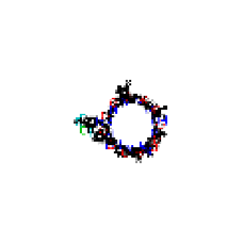 CC[C@H](C)[C@@H]1NC(=O)[C@H](CC(C)C)N(C)C(=O)C[C@@H](C(=O)N(C)C)N(C)C(=O)[C@H]([C@@H](C)CC)N(C)C(=O)C2(CCCC2)NC(=O)[C@H](Cc2ccc(F)cc2)N(C)C(=O)[C@H](CCc2ccc(C(F)(F)F)c(Cl)c2)NC(=O)CN(C)C(=O)[C@H](Cc2ccc(C)cc2)N(C)C(=O)[C@@H]2CCN2C(=O)[C@H](C)N(C)C1=O